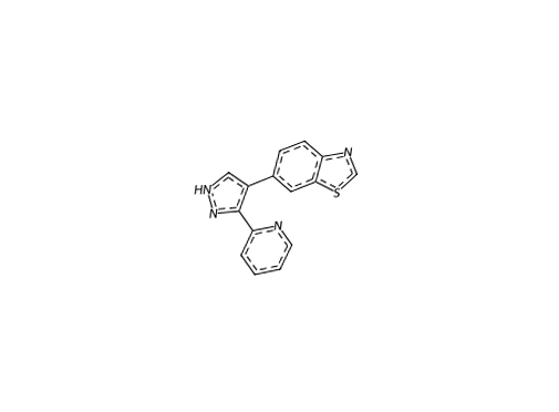 c1ccc(-c2n[nH]cc2-c2ccc3ncsc3c2)nc1